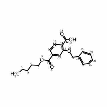 CCCCCOC(=O)c1cnc(C(=O)O)c(OCc2ccccc2)c1